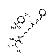 CCC(C)C(N)C(=O)NCCCCCC(=O)COCc1ccccc1.Cc1ccc(S(=O)(=O)O)cc1